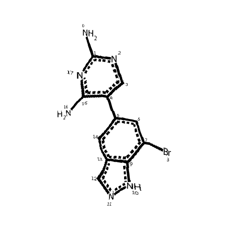 Nc1ncc(-c2cc(Br)c3[nH]ncc3c2)c(N)n1